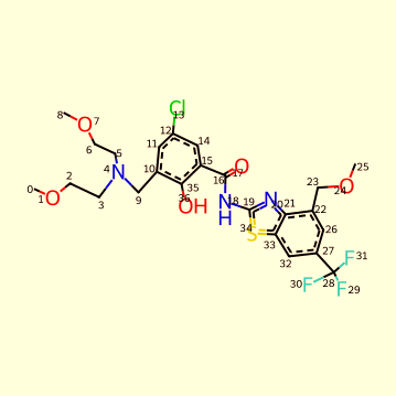 COCCN(CCOC)Cc1cc(Cl)cc(C(=O)Nc2nc3c(COC)cc(C(F)(F)F)cc3s2)c1O